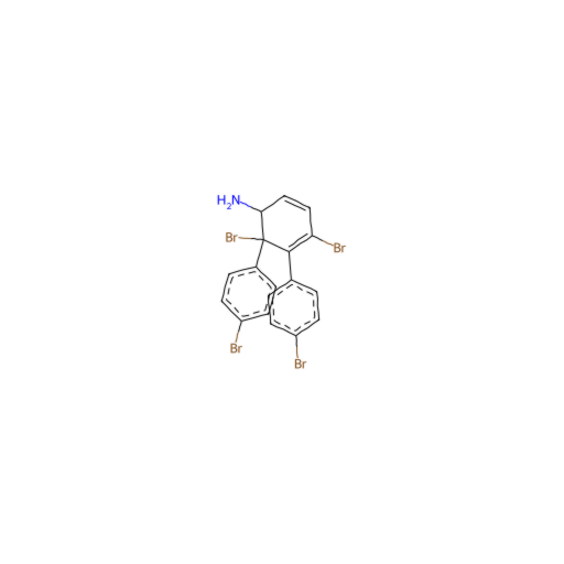 NC1C=CC(Br)=C(c2ccc(Br)cc2)C1(Br)c1ccc(Br)cc1